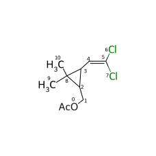 CC(=O)OCC1C(C=C(Cl)Cl)C1(C)C